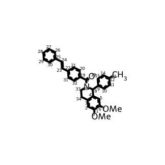 COc1cc2c(cc1OC)C(c1ccc(C)cc1)N(C(=O)c1ccc(/C=C/c3ccccc3)cc1)CC2